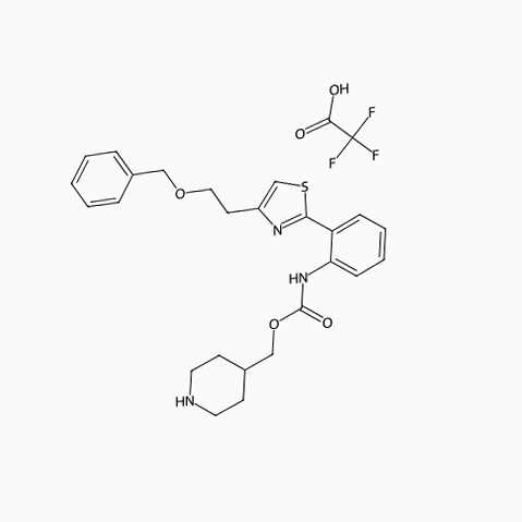 O=C(Nc1ccccc1-c1nc(CCOCc2ccccc2)cs1)OCC1CCNCC1.O=C(O)C(F)(F)F